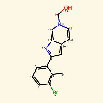 Cc1c(Br)cccc1-c1cc2ccn(CO)cc-2n1